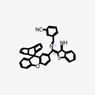 N#Cc1cccc(/C=N/C(=C2/Sc3ccccc3C2=N)c2ccc3c(c2)C2(c4ccccc4O3)c3ccccc3C3C=CC=CC32)c1